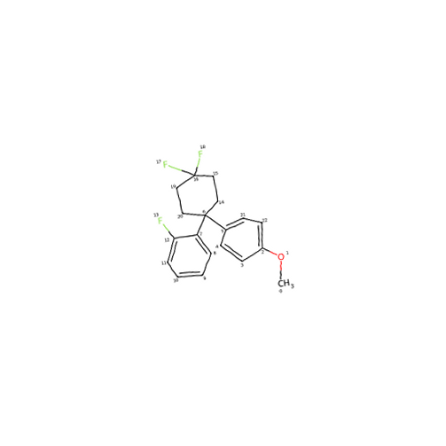 COc1ccc(C2(c3ccccc3F)CCC(F)(F)CC2)cc1